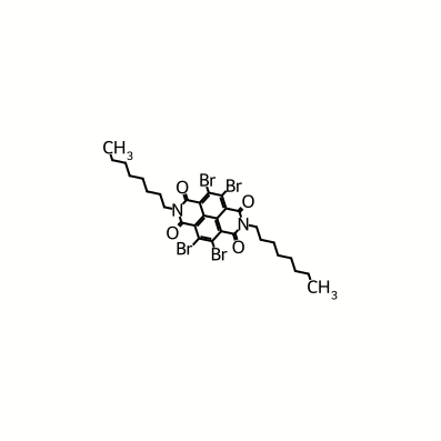 CCCCCCCCN1C(=O)c2c(Br)c(Br)c3c4c(c(Br)c(Br)c(c24)C1=O)C(=O)N(CCCCCCCC)C3=O